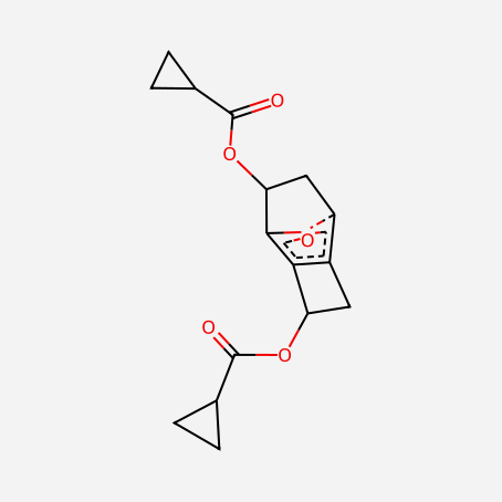 O=C(OC1Cc2oc1c1c2CC1OC(=O)C1CC1)C1CC1